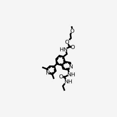 CCNC(=O)Nc1cc2c(-c3cc(C)nc(C)c3)ccc(CNC(=O)OCCOC)c2cn1